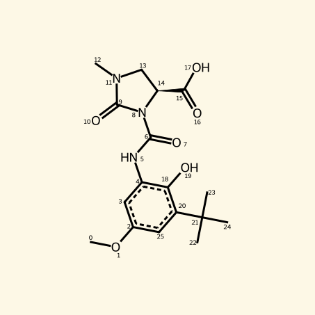 COc1cc(NC(=O)N2C(=O)N(C)C[C@H]2C(=O)O)c(O)c(C(C)(C)C)c1